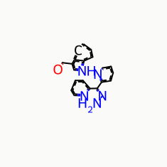 NN=C(c1ccccn1)c1ccccn1.O=Cc1c[nH]c2ccccc12